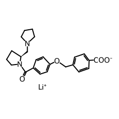 O=C([O-])c1ccc(COc2ccc(C(=O)N3CCC[C@H]3CN3CCCC3)cc2)cc1.[Li+]